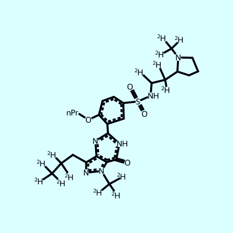 [2H]C(NS(=O)(=O)c1ccc(OCCC)c(-c2nc3c(CC([2H])([2H])C([2H])([2H])[2H])nn(C([2H])([2H])[2H])c3c(=O)[nH]2)c1)C([2H])([2H])C1CCCN1C([2H])([2H])[2H]